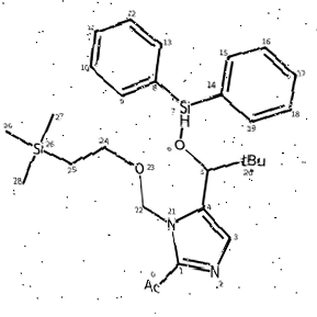 CC(=O)c1ncc(C(O[SiH](c2ccccc2)c2ccccc2)C(C)(C)C)n1COCC[Si](C)(C)C